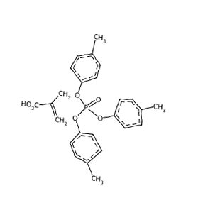 C=C(C)C(=O)O.Cc1ccc(OP(=O)(Oc2ccc(C)cc2)Oc2ccc(C)cc2)cc1